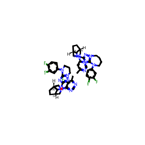 Cc1cc(N2C[C@H]3CC[C@@H](C2)C3Nc2nc3n(n2)CCCCN3c2ccc(F)c(F)c2)ncn1.Cc1ncnc(N2C[C@H]3CC[C@@H](C2)C3Nc2nc3n(n2)CCCN3c2ccc(F)c(F)c2)c1F